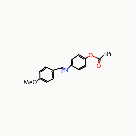 CCCC(=O)Oc1ccc(/N=C/c2ccc(OC)cc2)cc1